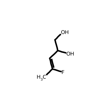 C/C(F)=C/C(O)CO